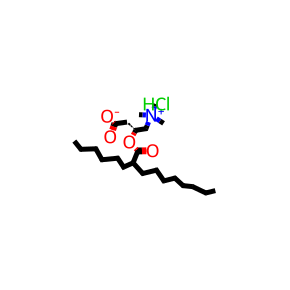 CCCCCCCCC(CCCCCC)C(=O)O[C@H](CC(=O)[O-])C[N+](C)(C)C.Cl